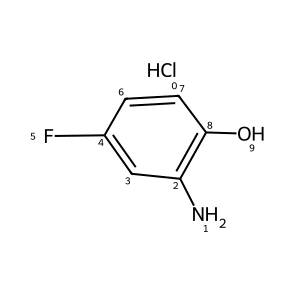 Cl.Nc1cc(F)ccc1O